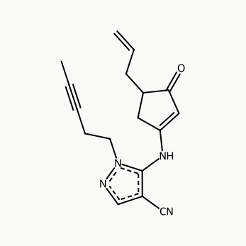 C=CCC1CC(Nc2c(C#N)cnn2CCC#CC)=CC1=O